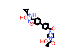 O=C(c1ccc(-c2ccc3c(NC(O)C4CC4)noc3c2)cc1)N1CCN(C(=O)C2(O)CC2)CC1